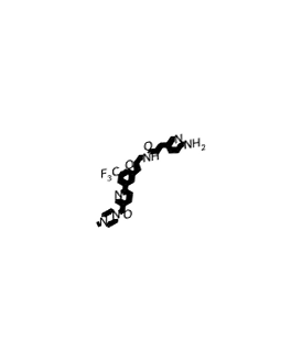 CN1CCN(C(=O)c2ccc(-c3cc(C(F)(F)F)c4oc(CNC(=O)/C=C/c5ccc(N)nc5)cc4c3)nc2)CC1